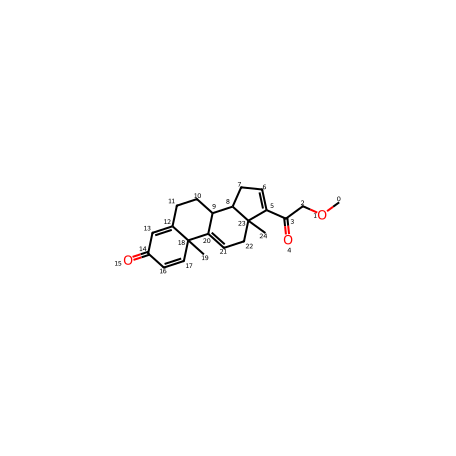 COCC(=O)C1=CCC2C3CCC4=CC(=O)C=CC4(C)C3=CCC12C